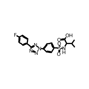 CC(C)C(NS(=O)(=O)c1ccc(-n2nnc(-c3ccc(F)cc3)n2)cc1)C(=O)O